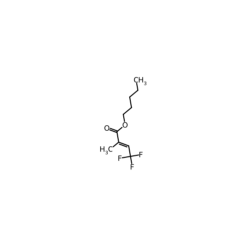 CCCCCOC(=O)C(C)=CC(F)(F)F